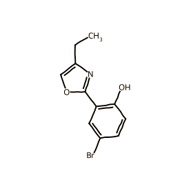 CCc1coc(-c2cc(Br)ccc2O)n1